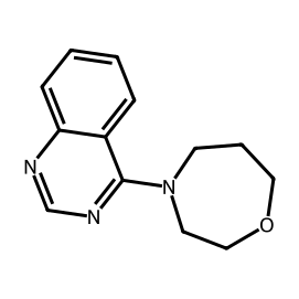 c1ccc2c(N3CCCOCC3)ncnc2c1